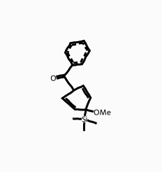 COC1([Si](C)(C)C)C=CC(C(=O)c2ccccc2)C=C1